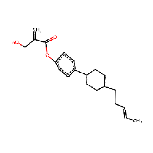 C=C(CO)C(=O)Oc1ccc(C2CCC(CC/C=C/C)CC2)cc1